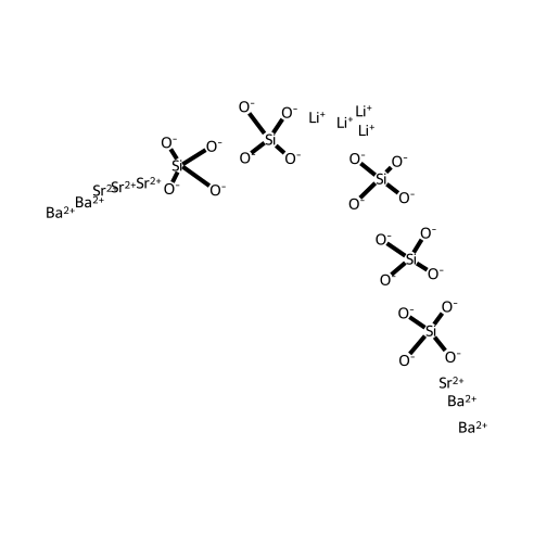 [Ba+2].[Ba+2].[Ba+2].[Ba+2].[Li+].[Li+].[Li+].[Li+].[O-][Si]([O-])([O-])[O-].[O-][Si]([O-])([O-])[O-].[O-][Si]([O-])([O-])[O-].[O-][Si]([O-])([O-])[O-].[O-][Si]([O-])([O-])[O-].[Sr+2].[Sr+2].[Sr+2].[Sr+2]